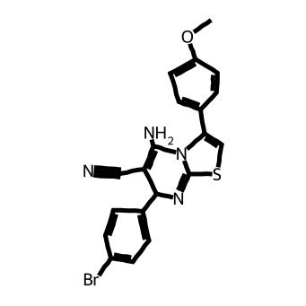 COc1ccc(C2=CSC3=NC(c4ccc(Br)cc4)C(C#N)=C(N)N23)cc1